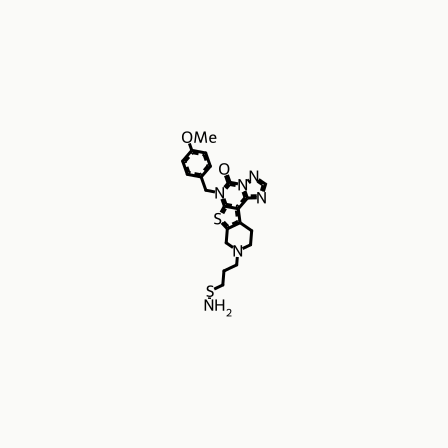 COc1ccc(Cn2c(=O)n3ncnc3c3c4c(sc32)CN(CCCSN)CC4)cc1